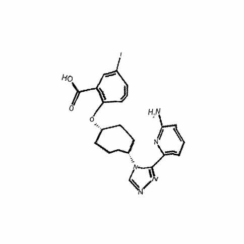 Nc1cccc(-c2nncn2[C@H]2CC[C@@H](Oc3ccc(I)cc3C(=O)O)CC2)n1